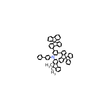 CC1(C)c2ccccc2-c2ccc(N(c3ccc(-c4ccccc4)cc3)c3cc(-c4cccc5c4-c4ccccc4C5(c4ccccc4)c4ccccc4)cc(-c4cccc5c4-c4ccccc4C54c5ccccc5-c5ccccc54)c3)cc21